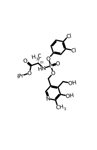 Cc1ncc(COP(=O)(N[C@@H](C)C(=O)OC(C)C)Oc2ccc(Cl)c(Cl)c2)c(CO)c1O